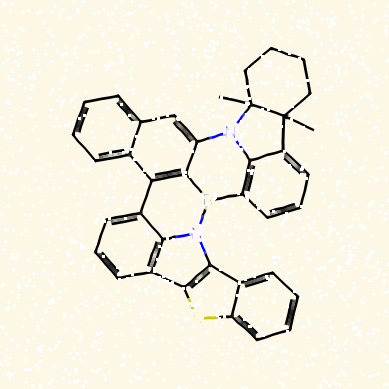 CC12CCCCC1(C)N1c3cc4ccccc4c4c3B(c3cccc2c31)n1c2c-4cccc2c2sc3ccccc3c21